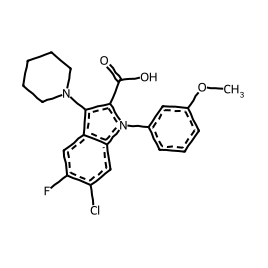 COc1cccc(-n2c(C(=O)O)c(N3CCCCC3)c3cc(F)c(Cl)cc32)c1